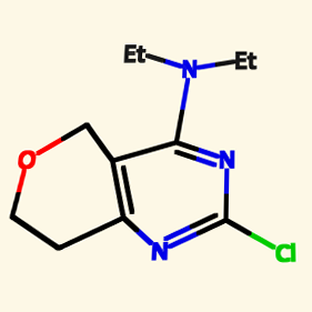 CCN(CC)c1nc(Cl)nc2c1COCC2